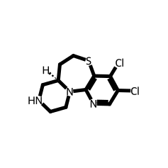 Clc1cnc2c(c1Cl)SCC[C@@H]1CNCCN21